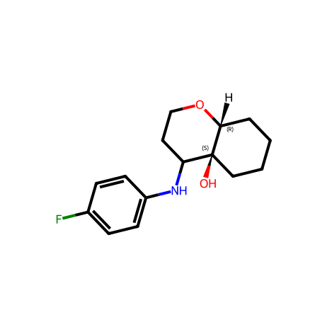 O[C@]12CCCC[C@H]1OCCC2Nc1ccc(F)cc1